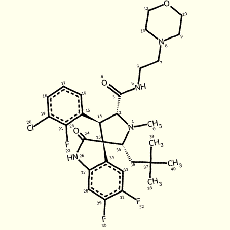 CN1[C@@H](C(=O)NCCN2CCOCC2)[C@H](c2cccc(Cl)c2F)[C@@]2(C(=O)Nc3cc(F)c(F)cc32)[C@H]1CC(C)(C)C